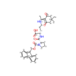 CC(NCCC[C@H](NC(=O)[C@@H]1CCCN1C(=O)OCC1c2ccccc2-c2ccccc21)C(=O)O)=C1C(=O)CC(C)(C)CC1=O